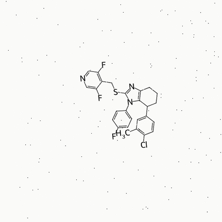 Cc1cc(C2CCCc3nc(SCc4c(F)cncc4F)n(-c4ccc(F)cc4)c32)ccc1Cl